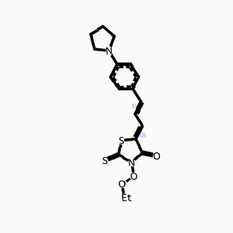 CCOON1C(=O)/C(=C/C=C/c2ccc(N3CCCC3)cc2)SC1=S